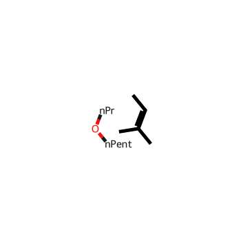 CC=C(C)C.CCCCCOCCC